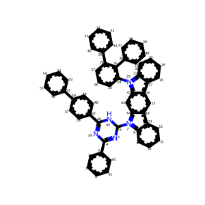 c1ccc(C2=NC(n3c4ccccc4c4cc5c6ccccc6n(-c6cccc(-c7ccccc7)c6-c6ccccc6)c5cc43)NC(c3ccc(-c4ccccc4)cc3)=N2)cc1